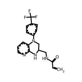 C=CC(=O)NCC1CN(c2ccc(C(F)(F)F)cc2)c2cccnc2N1